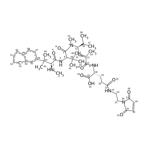 CN[C@H](C(=O)NC(C(=O)N(C)[C@H](/C=C(\C)C(=O)N[C@H](CCC(=O)NCCN1C(=O)C=CC1=O)C(=O)O)C(C)C)C(C)(C)C)C(C)(C)c1ccc2ccccc2c1